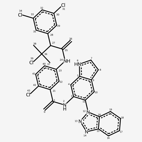 C=C(Nc1cc2[nH]ccc2cc1-n1nnc2ccccc21)c1cc(NC(=C)C(c2cc(Cl)cc(Cl)c2)C(C)(C)Cl)ccc1Cl